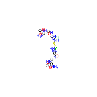 Cc1cc(CN(C)C(=O)c2ccc3nc(NCCSSCCNc4nc5ccc(C(=O)N(C)Cc6ccc(Nc7cc(C)c(N)c8c7C(=O)c7ccccc7C8=O)c(C)c6)cc5nc4Cl)c(Cl)nc3c2)ccc1Nc1cc(C)c(N)c2c1C(=O)c1ccccc1C2=O